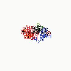 C[C@@H](OP(=O)(O)OP(=O)(O)OP(=O)(O)O)[C@H]1O[C@@H](n2cnc3c(=O)[nH]c(N)nc32)[C@@](Cl)(CF)C1O